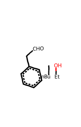 CCCCC.CCO.O=CCc1ccccc1